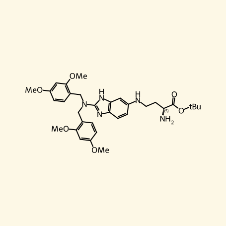 COc1ccc(CN(Cc2ccc(OC)cc2OC)c2nc3ccc(NCC[C@H](N)C(=O)OC(C)(C)C)cc3[nH]2)c(OC)c1